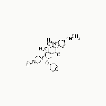 C=NCc1ccc2c3c([nH]c2c1)C(C)(C)c1cc(N2CCN(C4CCC4)CC2)c(OC2CCOCC2)cc1C3=O